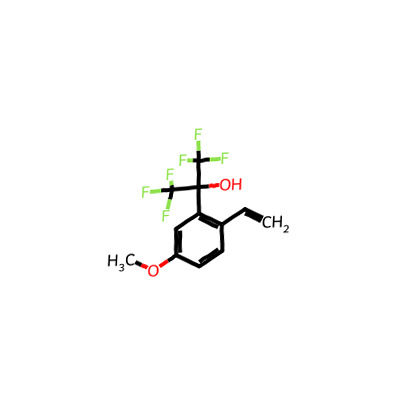 C=Cc1ccc(OC)cc1C(O)(C(F)(F)F)C(F)(F)F